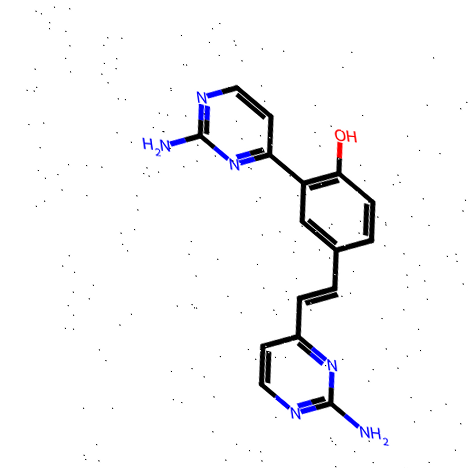 Nc1nccc(C=Cc2ccc(O)c(-c3ccnc(N)n3)c2)n1